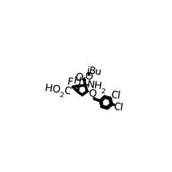 CCC(C)OC(=O)[C@@]1(N)[C@H]2C(C[C@H]1OCc1ccc(Cl)c(Cl)c1)[C@]2(F)C(=O)O